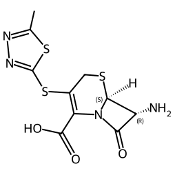 Cc1nnc(SC2=C(C(=O)O)N3C(=O)[C@@H](N)[C@@H]3SC2)s1